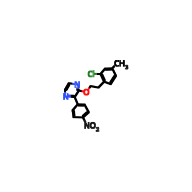 Cc1ccc(CCOc2nccnc2-c2ccc([N+](=O)[O-])cc2)c(Cl)c1